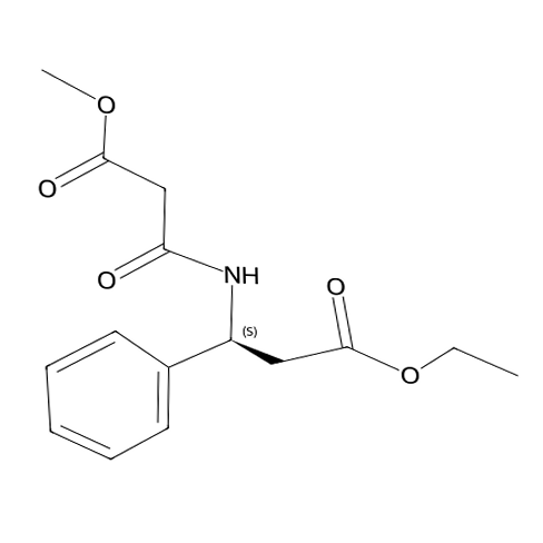 CCOC(=O)C[C@H](NC(=O)CC(=O)OC)c1ccccc1